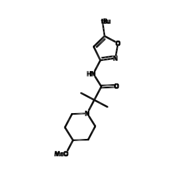 COC1CCN(C(C)(C)C(=O)Nc2cc(C(C)(C)C)on2)CC1